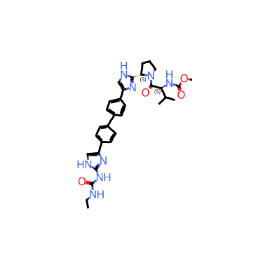 CCNC(=O)Nc1nc(-c2ccc(-c3ccc(-c4c[nH]c([C@@H]5CCCN5C(=O)[C@@H](NC(=O)OC)C(C)C)n4)cc3)cc2)c[nH]1